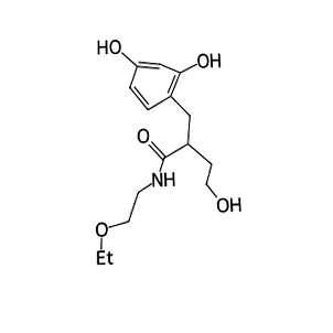 CCOCCNC(=O)C(CCO)Cc1ccc(O)cc1O